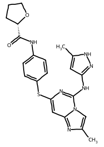 Cc1cn2c(Nc3cc(C)[nH]n3)nc(Sc3ccc(NC(=O)[C@@H]4CCCO4)cc3)cc2n1